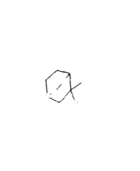 NC1(C(=O)O)CN2CCC1CC2